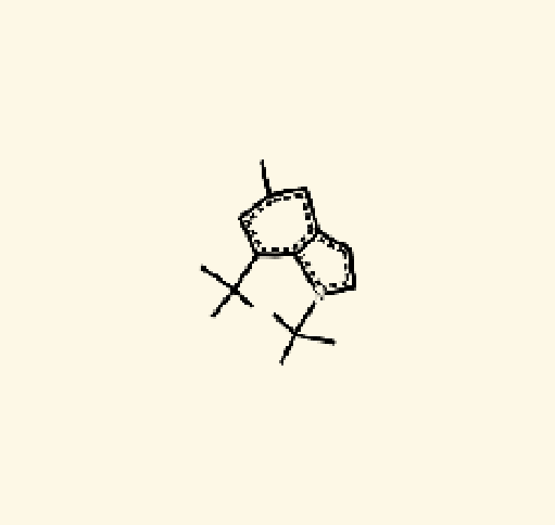 Cc1cc(C(C)(C)C)c2c(ccn2C(C)(C)C)c1